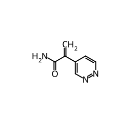 C=C(C(N)=O)c1ccnnc1